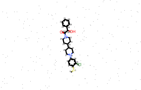 CSc1ccc(N2CCC(C3CCN(C(=O)C(O)c4ccccc4)CC3)CC2)cc1Cl